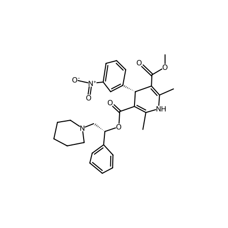 COC(=O)C1=C(C)NC(C)=C(C(=O)O[C@@H](CN2CCCCC2)c2ccccc2)[C@@H]1c1cccc([N+](=O)[O-])c1